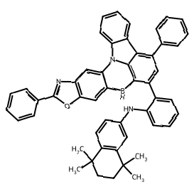 CC1(C)CCC(C)(C)c2cc(Nc3ccccc3-c3cc(-c4ccccc4)c4c5ccccc5n5c4c3Bc3cc4oc(-c6ccccc6)nc4cc3-5)ccc21